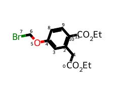 CCOC(=O)Cc1cc(OCBr)ccc1C(=O)OCC